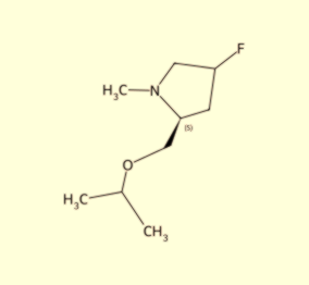 CC(C)OC[C@@H]1CC(F)CN1C